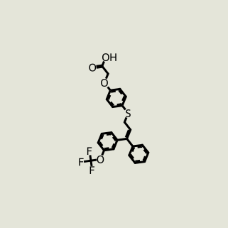 O=C(O)COc1ccc(SC/C=C(/c2ccccc2)c2cccc(OC(F)(F)F)c2)cc1